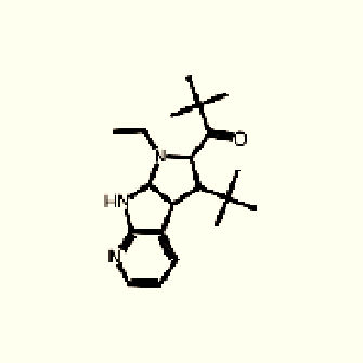 CCN1C2Nc3ncccc3C2C(C(C)(C)C)C1C(=O)C(C)(C)C